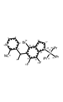 CC(c1cccnc1C#N)c1c(F)c(F)c2c(ccn2[Si](C(C)C)(C(C)C)C(C)C)c1Br